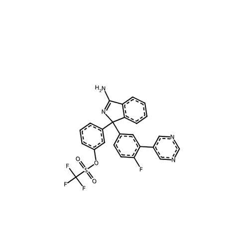 NC1=NC(c2cccc(OS(=O)(=O)C(F)(F)F)c2)(c2ccc(F)c(-c3cncnc3)c2)c2ccccc21